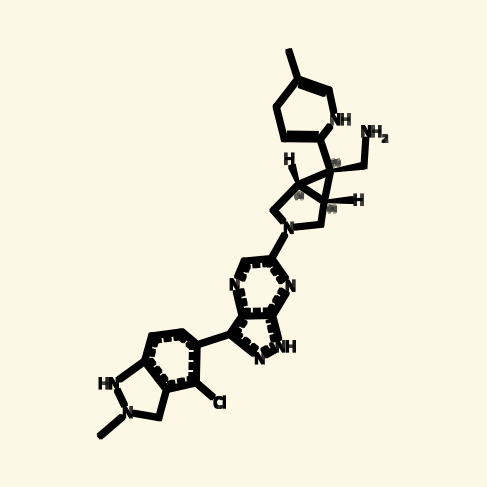 CC1=CNC([C@]2(CN)[C@@H]3CN(c4cnc5c(-c6ccc7c(c6Cl)CN(C)N7)n[nH]c5n4)C[C@@H]32)=CC1